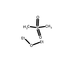 CCOCC.CS(C)(=O)=O